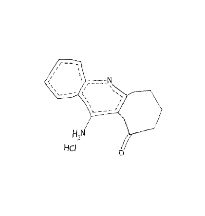 Cl.Nc1c2c(nc3ccccc13)CCCC2=O